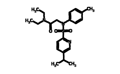 CCN(CC)C(=O)CN(c1ccc(C)cc1)S(=O)(=O)c1ccc(C(C)C)cn1